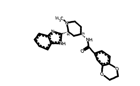 CN1CC[C@H](NC(=O)c2ccc3c(c2)OCCO3)C[C@@H]1c1nc2ccccc2[nH]1